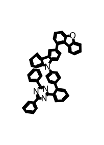 c1ccc(-c2nc(-c3ccccc3)nc(-c3ccccc3-c3ccc(-n4c5ccccc5c5cc(-c6cccc7oc8ccccc8c67)ccc54)cc3)n2)cc1